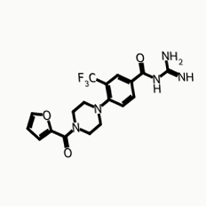 N=C(N)NC(=O)c1ccc(N2CCN(C(=O)c3ccco3)CC2)c(C(F)(F)F)c1